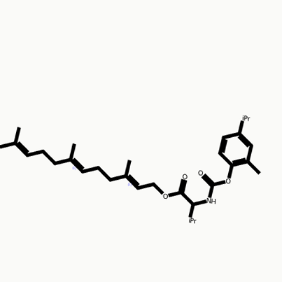 CC(C)=CCC/C(C)=C/CC/C(C)=C/COC(=O)C(NC(=O)Oc1ccc(C(C)C)cc1C)C(C)C